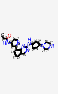 C=CC(=O)Nc1ccnc(-c2cccc3cnc(Nc4ccc(N5CCNCC5)cc4)nc23)c1